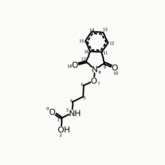 O=C(O)NCCCON1C(=O)c2ccccc2C1=O